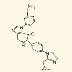 CN(C)Cc1nccn1-c1ccc(C2NCc3ncn(-c4cccc(CN)c4)c3C2=O)cc1